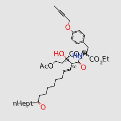 CC#CCOc1ccc(C[C@H](NC(=O)[C@@H](C=CCCCCCCC(=O)CCCCCCC)[C@@](O)(CCOC(C)=O)C(=O)O)C(=O)OCC)cc1